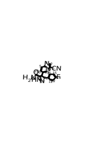 N#Cc1cnc2ccc(-c3c(-c4ccc(F)cc4)n[nH]c3C(N)=O)cn12